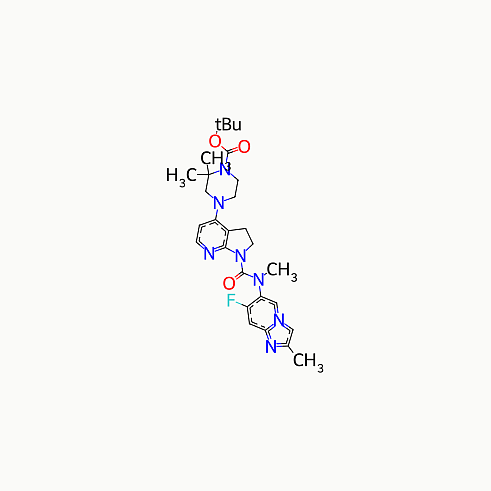 Cc1cn2cc(N(C)C(=O)N3CCc4c(N5CCN(C(=O)OC(C)(C)C)C(C)(C)C5)ccnc43)c(F)cc2n1